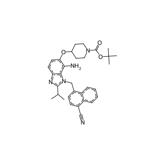 CC(C)c1nc2ccc(OC3CCN(C(=O)OC(C)(C)C)CC3)c(N)c2n1Cc1ccc(C#N)c2ccccc12